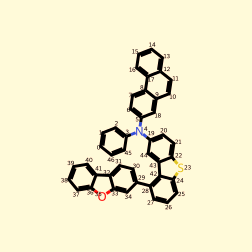 c1ccc(N(c2ccc3c(ccc4ccccc43)c2)c2ccc3sc4cccc(-c5ccc6c(c5)oc5ccccc56)c4c3c2)cc1